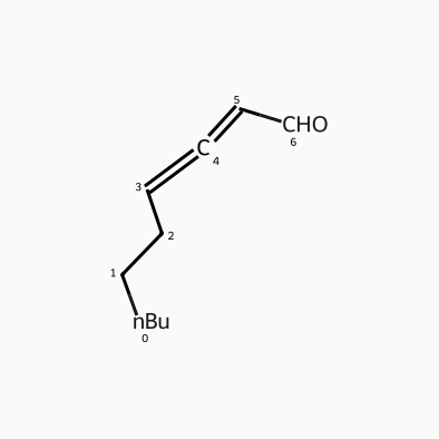 CCCCCCC=C=CC=O